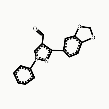 O=Cc1cn(-c2ccccc2)nc1-c1ccc2c(c1)OCO2